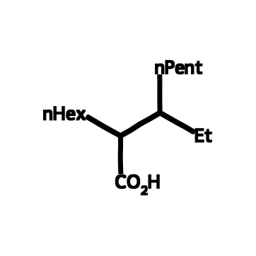 CCCCCCC(C(=O)O)C(CC)CCCCC